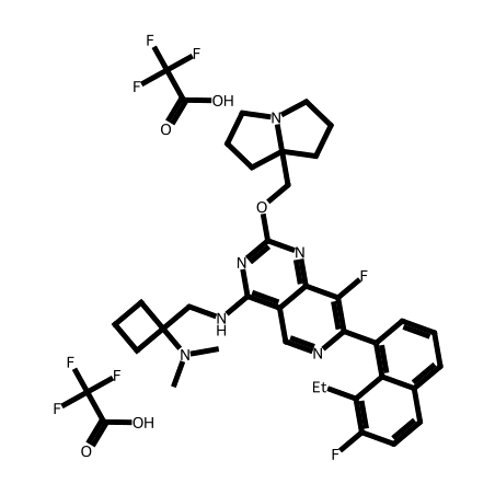 CCc1c(F)ccc2cccc(-c3ncc4c(NCC5(N(C)C)CCC5)nc(OCC56CCCN5CCC6)nc4c3F)c12.O=C(O)C(F)(F)F.O=C(O)C(F)(F)F